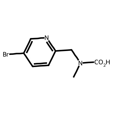 CN(Cc1ccc(Br)cn1)C(=O)O